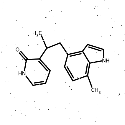 Cc1ccc(CC(C)c2ccc[nH]c2=O)c2cc[nH]c12